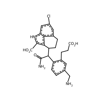 NCc1ccc(C(C(N)=O)C2CCc3cc(Cl)cc4[nH]c(C(=O)O)c2c34)c(CCC(=O)O)c1